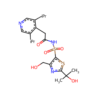 CC(C)c1cncc(C(C)C)c1CC(=O)NS(=O)(=O)c1sc(C(C)(C)O)nc1CO